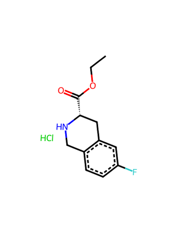 CCOC(=O)[C@@H]1Cc2cc(F)ccc2CN1.Cl